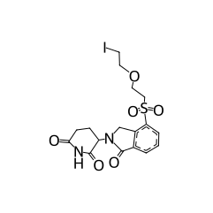 O=C1CCC(N2Cc3c(cccc3S(=O)(=O)CCOCCI)C2=O)C(=O)N1